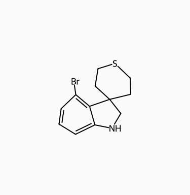 Brc1cccc2c1C1(CCSCC1)CN2